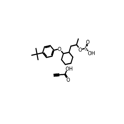 C#CC(=O)O.CC(CC1CCCCC1Oc1ccc(C(C)(C)C)cc1)OS(=O)O